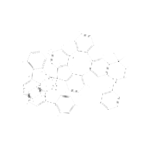 CC1(C)CCN(c2ccccc2)c2cc3c(cc21)-c1ccccc1-c1cccc2c1-c1c-3cccc1C2(n1c2ccccc2c2ccccc21)n1c2ccccc2c2ccccc21